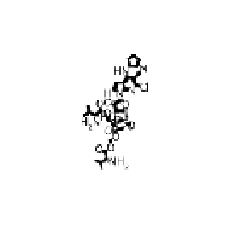 CC(C)[C@H](N)C(=O)OCOP(=O)(CS(=O)(=O)C[C@H]1O[C@@H](n2ccc3c(NC4CCCC4)c(C#N)c(Cl)nc32)[C@H](O)[C@@H]1O)OCOC(=O)[C@@H](N)C(C)C